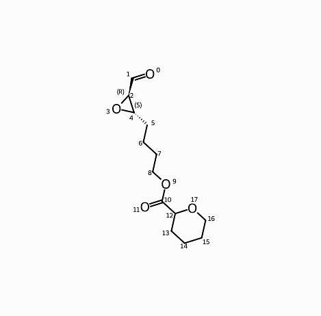 O=C[C@@H]1O[C@H]1CCCCOC(=O)C1CCCCO1